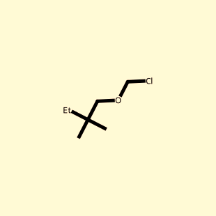 CCC(C)(C)COCCl